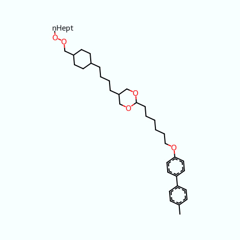 [CH2+][CH-]CCCCCOOCC1CCC(CCCCC2COC(CCCCCCOc3ccc(-c4ccc(C)cc4)cc3)OC2)CC1